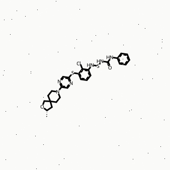 C[C@H]1CC2(CCN(c3cnc(Sc4cccc(NSNC(=O)Nc5ccccc5)c4Cl)cn3)CC2)CO1